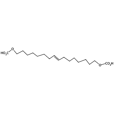 O=C(O)OCCCCCCCC=CCCCCCCCOC(=O)O